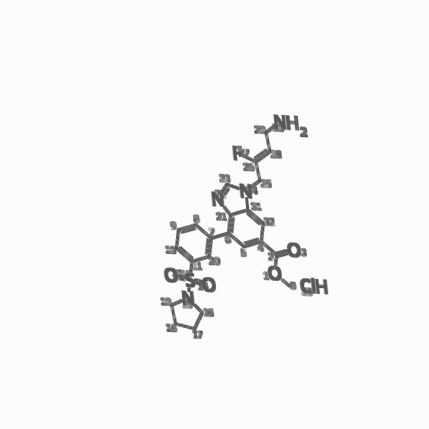 COC(=O)c1cc(-c2cccc(S(=O)(=O)N3CCCC3)c2)c2ncn(C/C(F)=C/CN)c2c1.Cl